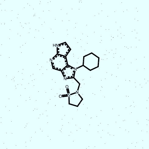 O=S1(=O)CCCN1Cc1nc2cnc3[nH]ccc3c2n1C1CCCCC1